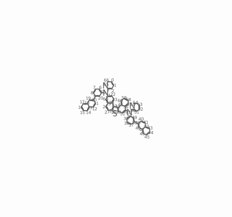 c1ccc(N(c2cccc(-c3ccc4ccccc4c3)c2)c2ccc3c(ccc4sc5cc(N(c6cccc(-c7ccc8ccccc8c7)c6)c6ccccn6)c6ccccc6c5c43)c2)nc1